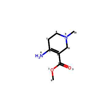 COC(=O)C1=C(N)CCN(C)C1